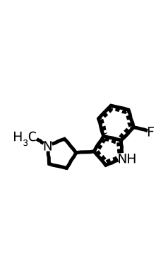 CN1CCC(c2c[nH]c3c(F)cccc23)C1